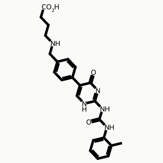 Cc1ccccc1NC(=O)Nc1nc(=O)c(-c2ccc(CNCCCC(=O)O)cc2)c[nH]1